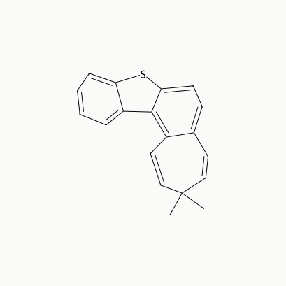 CC1(C)C=Cc2ccc3sc4ccccc4c3c2C=C1